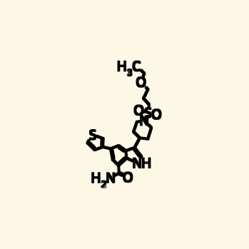 CCOCCCS(=O)(=O)N1CCC(c2c[nH]c3c(C(N)=O)cc(-c4ccsc4)cc23)CC1